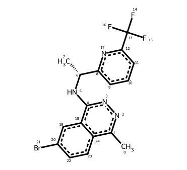 Cc1nnc(N[C@H](C)c2c[c]cc(C(F)(F)F)n2)c2cc(Br)ccc12